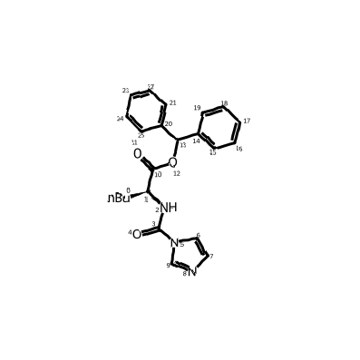 CCCC[C@H](NC(=O)n1ccnc1)C(=O)OC(c1ccccc1)c1ccccc1